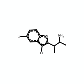 CC(N)C(C)c1sc2ccc(Cl)cc2c1Cl